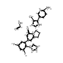 Nc1ccc(-c2[nH]c([C@@H]3CCc4cc(-c5cc(F)cc(F)c5-n5cnnn5)cc(=O)n43)nc2Cl)cn1.O=CO